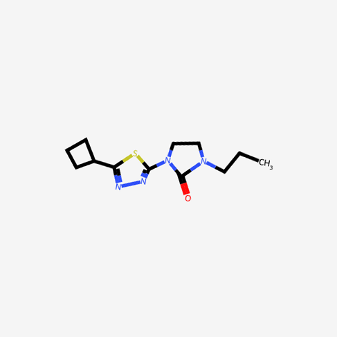 CCCN1CCN(c2nnc(C3CCC3)s2)C1=O